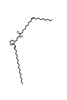 CCCCCCCC/C=C\CCCCCCCC(=O)NCCN1CCN=C1C=CCCCCCCCCCCCCCCC